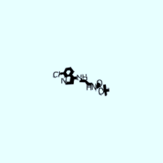 CC(C)(C)OC(=O)NCCCCNc1ccnc2c(Cl)cccc12